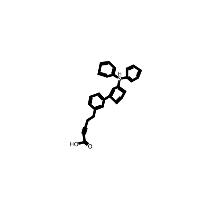 O=C(O)C#CCCc1cccc(-c2cccc([SH](c3ccccc3)c3ccccc3)c2)c1